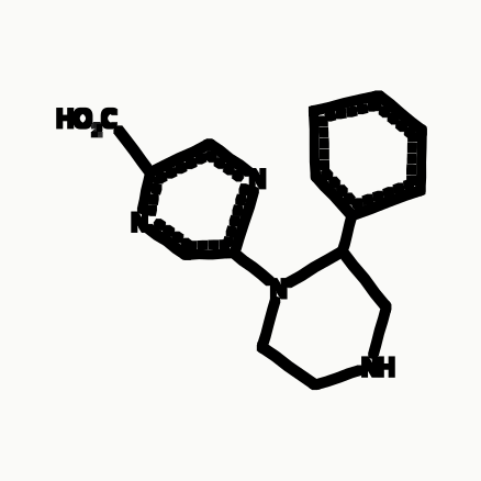 O=C(O)c1cnc(N2CCNCC2c2ccccc2)cn1